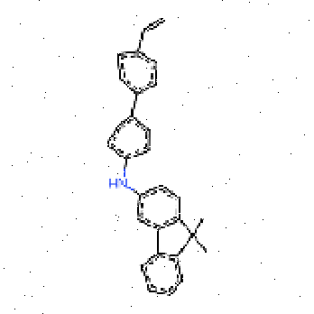 C=Cc1ccc(-c2ccc(Nc3ccc4c(c3)-c3ccccc3C4(C)C)cc2)cc1